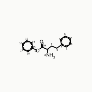 NC(CCc1ccccc1)C(=O)Oc1ccccc1